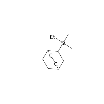 CC[Si](C)(C)C1CC2CCC1CC2